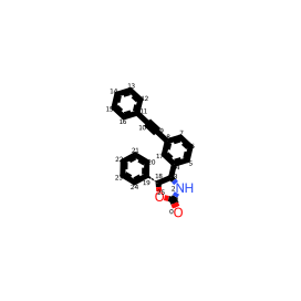 O=C1NC(c2cccc(C#Cc3ccccc3)c2)[C@@H](c2ccccc2)O1